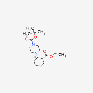 CCOC(=O)C1CCCC[C@@H]1N1CCN(C(=O)OC(C)(C)C)CC1